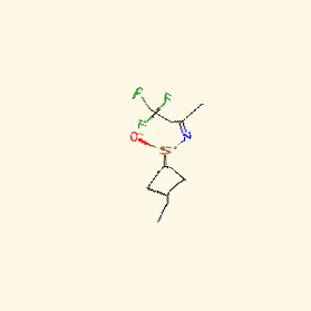 C/C(=N/[S@+]([O-])C1CC(C)C1)C(F)(F)F